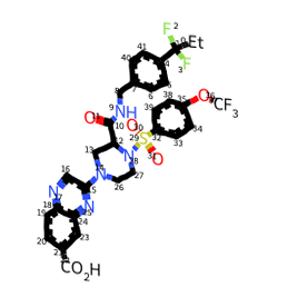 CCC(F)(F)c1ccc(CNC(=O)C2CN(c3cnc4ccc(C(=O)O)cc4n3)CCN2S(=O)(=O)c2ccc(OC(F)(F)F)cc2)cc1